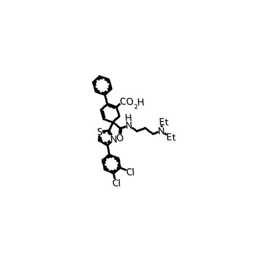 CCN(CC)CCCNC(=O)C1(c2nc(-c3ccc(Cl)c(Cl)c3)cs2)C=CC(c2ccccc2)=C(C(=O)O)C1